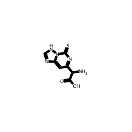 NC(C(=O)O)c1cc2nc[nH]n2c(=S)n1